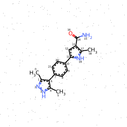 Cc1n[nH]c(C)c1-c1ccc(-c2cc(C(N)=O)c(C)[nH]2)cc1